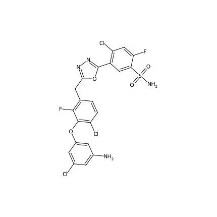 Nc1cc(Cl)cc(Oc2c(Cl)ccc(Cc3nnc(-c4cc(S(N)(=O)=O)c(F)cc4Cl)o3)c2F)c1